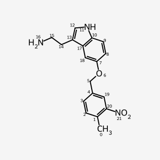 Cc1ccc(COc2ccc3[nH]cc(CCN)c3c2)cc1[N+](=O)[O-]